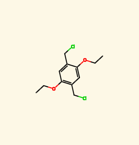 CCOc1cc(CCl)c(OCC)cc1CCl